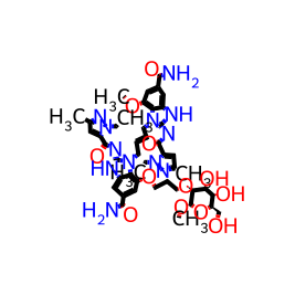 CCn1nc(C)cc1C(=O)/N=c1/[nH]c2cc(C(N)=O)cc(OC)c2n1C/C=C/Cn1/c(=N/C(=O)c2cc(C)nn2CC)[nH]c2cc(C(N)=O)cc(OCCCO[C@H]3[C@@H](OC)O[C@H](CO)[C@@H](O)[C@@H]3O)c21